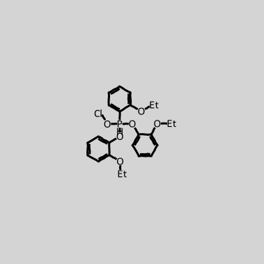 CCOc1ccccc1O[PH](OCl)(Oc1ccccc1OCC)c1ccccc1OCC